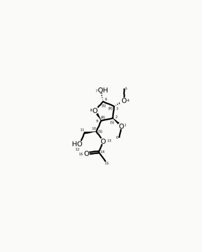 CO[C@@H]1[C@@H](OC)[C@@H](O)O[C@@H]1[C@H](CO)OC(C)=O